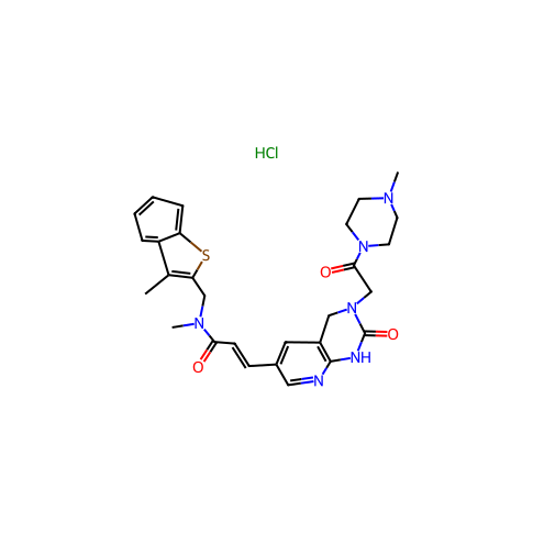 Cc1c(CN(C)C(=O)C=Cc2cnc3c(c2)CN(CC(=O)N2CCN(C)CC2)C(=O)N3)sc2ccccc12.Cl